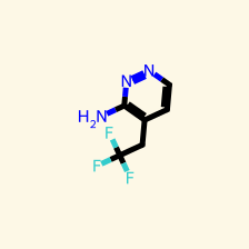 Nc1nnccc1CC(F)(F)F